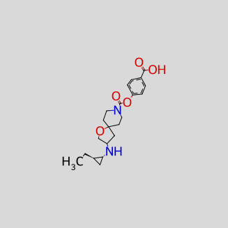 CC[C@@H]1C[C@H]1NC1COC2(CCN(C(=O)Oc3ccc(C(=O)O)cc3)CC2)C1